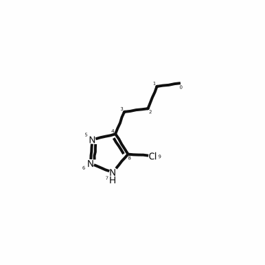 CCCCc1nn[nH]c1Cl